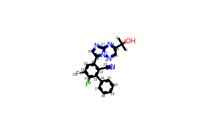 CC(C)(O)c1cnn2c(-c3cc(F)c(F)c(-c4ccccc4)c3C#N)cnc2n1